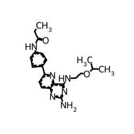 CCC(=O)Nc1ccc(-c2ccc3nc(N)nc(NCCOC(C)C)c3n2)cc1